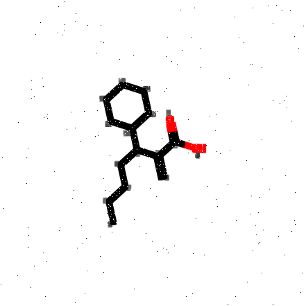 C=C(C(=O)O)C(CCCC)C1CCCCC1